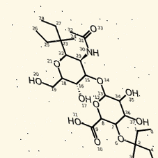 CCC(C)(CC)OC1C(C(=O)O)OC(OC2[C@H](O)C(CO)OC(C(C)(CC)CC)[C@H]2NC(C)=O)C(O)C1O